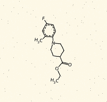 CCOC(=O)C1CCN(c2ccc(F)cc2C)CC1